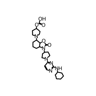 O=C(O)OC1CCN(C2CCCC3C2OC(=O)N3C2CCN(c3ccnc(NC4CCCCC4)n3)CC2)CC1